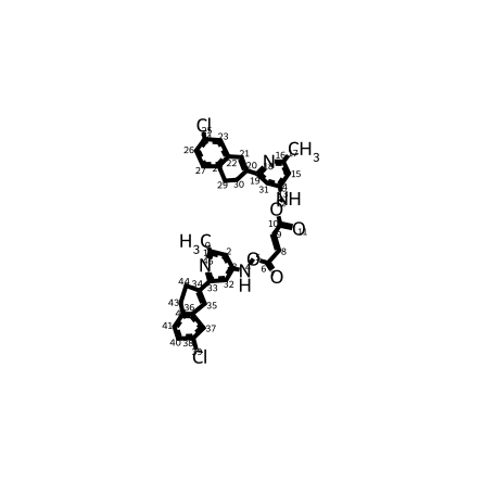 Cc1cc(NOC(=O)/C=C/C(=O)ONc2cc(C)nc(C3=Cc4cc(Cl)ccc4CC3)c2)cc(C2=Cc3cc(Cl)ccc3CC2)n1